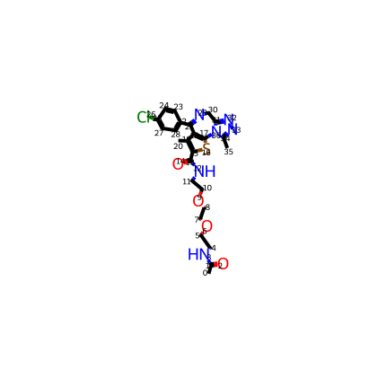 CC(=O)NCCOCCOCCNC(=O)c1sc2c(c1C)C(c1ccc(Cl)cc1)=NCc1nnc(C)n1-2